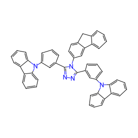 c1cc(-c2nnc(-c3cccc(-n4c5ccccc5c5ccccc54)c3)n2-c2ccc3c(c2)-c2ccccc2C3)cc(-n2c3ccccc3c3ccccc32)c1